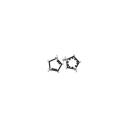 C1=NCN=C1.c1c[nH]cn1